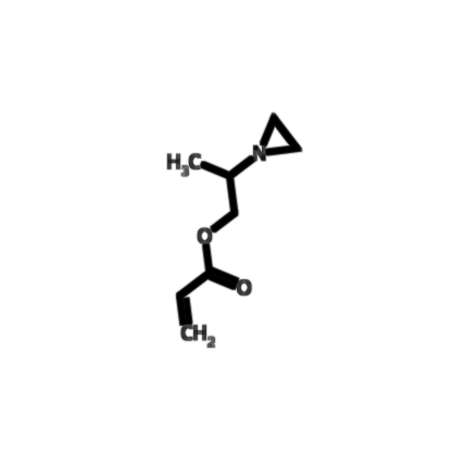 C=CC(=O)OCC(C)N1CC1